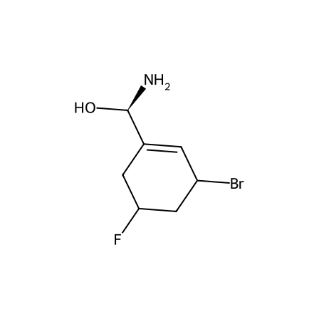 N[C@H](O)C1=CC(Br)CC(F)C1